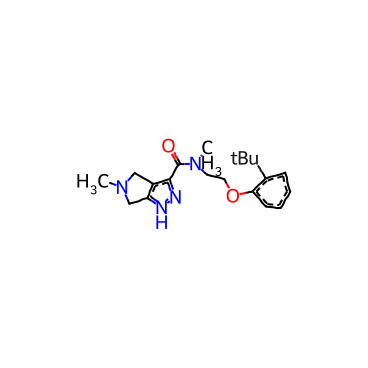 CN1Cc2[nH]nc(C(=O)N(C)CCOc3ccccc3C(C)(C)C)c2C1